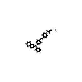 C=CC(=O)Oc1ccc(C=Cc2ccc(N(c3ccccc3)c3ccc4c(c3)CCCC4)cc2)cc1